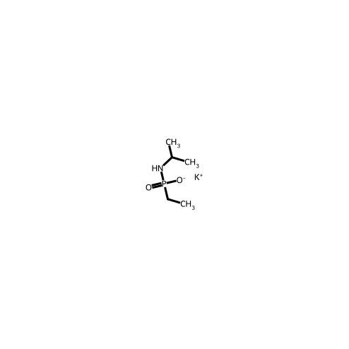 CCP(=O)([O-])NC(C)C.[K+]